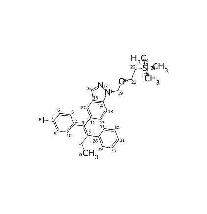 CCC(=C(c1ccc(I)cc1)c1ccc2c(cnn2COCC[Si](C)(C)C)c1)c1ccccc1